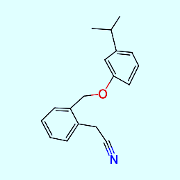 CC(C)c1cccc(OCc2ccccc2CC#N)c1